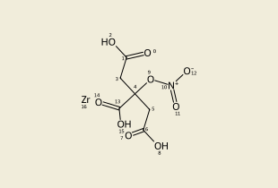 O=C(O)CC(CC(=O)O)(O[N+](=O)[O-])C(=O)O.[Zr]